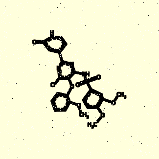 COc1ccc(S(=O)(=O)Nc2nc(-c3cc[nH]c(=O)c3)nc(Cl)c2Oc2ccccc2OC)cc1OC